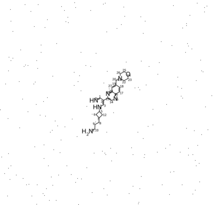 N=C/C(=C\NC1CC(CCCN)C1)c1cnc2ccc(CN3CCOCC3)cc2n1